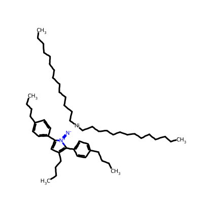 CCCCC1=C(c2ccc(CCCC)cc2)[N+](=[N-])C(c2ccc(CCCC)cc2)=C1.CCCCCCCCCCCCC[CH2][Ni][CH2]CCCCCCCCCCCCC